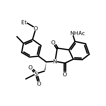 CCOc1cc([C@@H](CS(C)(=O)=O)N2C(=O)c3cccc(NC(C)=O)c3C2=O)ccc1C